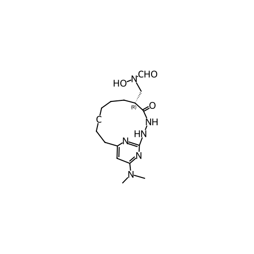 CN(C)c1cc2nc(n1)NNC(=O)[C@@H](CN(O)C=O)CCCCCC2